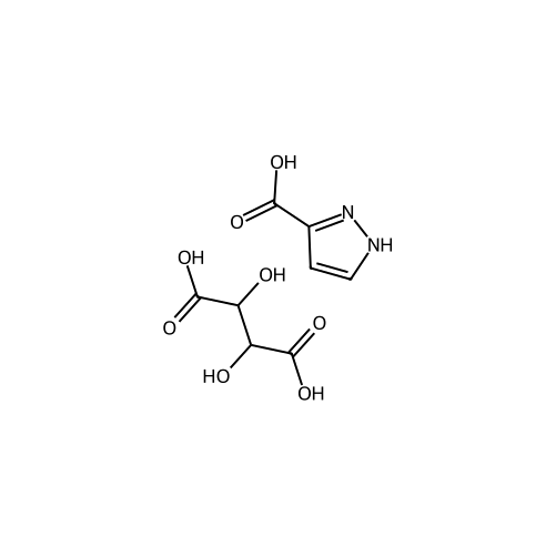 O=C(O)C(O)C(O)C(=O)O.O=C(O)c1cc[nH]n1